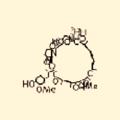 [2H]C([2H])([2H])O[C@H]1C[C@@H]2CC[C@@H](C)[C@@](O)(O2)C(=O)C(=O)N2CCCC[C@H]2C(=O)O[C@H]([C@H](C)C[C@@H]2CC[C@@H](O)[C@H](OC)C2)CC(=O)[C@H](C)/C=C(\C)[C@@H](O)[C@@H](OC)C(=O)[C@H](C)C[C@H](C)/C=C/C=C/C=C/1C